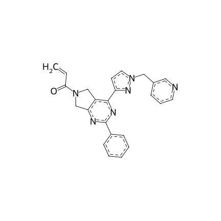 C=CC(=O)N1Cc2nc(-c3ccccc3)nc(-c3ccn(Cc4cccnc4)n3)c2C1